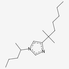 CCCCCC(C)(C)c1cn(C(C)CCC)cn1